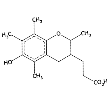 Cc1c(C)c2c(c(C)c1O)CC(CCC(=O)O)C(C)O2